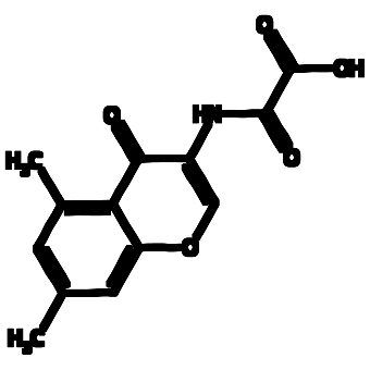 Cc1cc(C)c2c(=O)c(NC(=O)C(=O)O)coc2c1